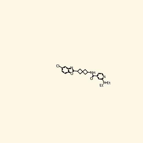 CCN(CC)c1cc(C(=O)NC2CC3(C2)CC(c2nc4cc(Cl)ccc4o2)C3)ccn1